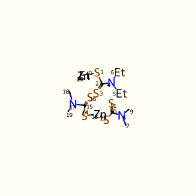 CCSC(=S)N(CC)CC.CN(C)C(=S)[S][Zn][S]C(=S)N(C)C.[Zn]